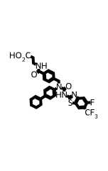 O=C(O)CCNC(=O)c1ccc(CN(C(=O)Nc2nc3cc(F)c(C(F)(F)F)cc3s2)c2ccc(C3=CCCCC3)cc2)cc1